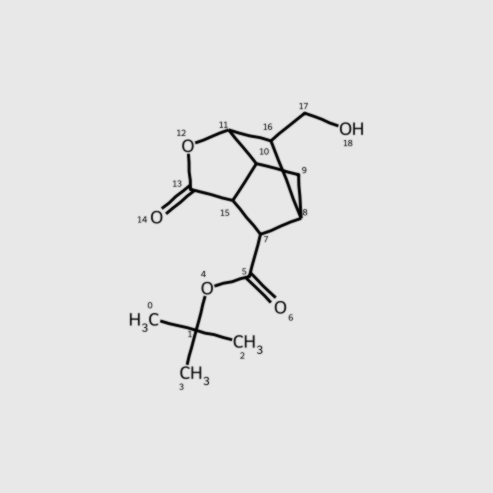 CC(C)(C)OC(=O)C1C2CC3C(OC(=O)C31)C2CO